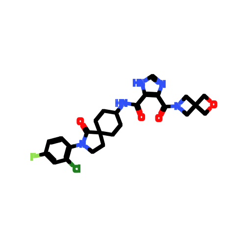 O=C(NC1CCC2(CC1)CCN(c1ccc(F)cc1Cl)C2=O)c1[nH]cnc1C(=O)N1CC2(COC2)C1